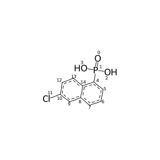 O=P(O)(O)c1cccc2cc(Cl)ccc12